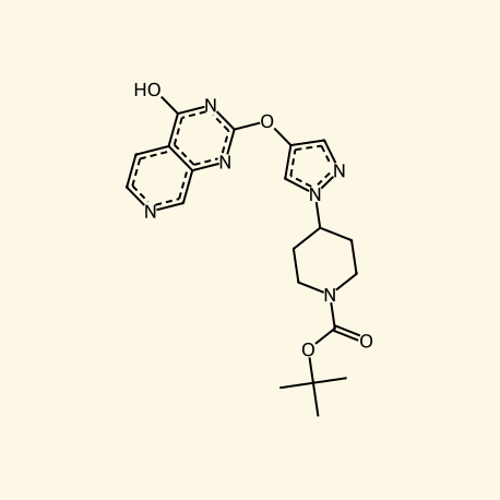 CC(C)(C)OC(=O)N1CCC(n2cc(Oc3nc(O)c4ccncc4n3)cn2)CC1